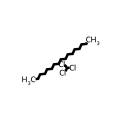 CCCCCCCCCCCCCCCCC.ClC(Cl)Cl